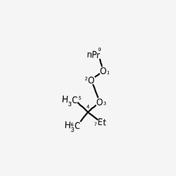 CCCOOOC(C)(C)CC